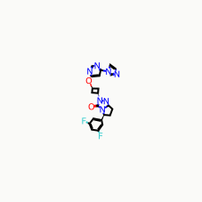 O=c1n2c(nn1[C@H]1C[C@H](Oc3cc(-n4ccnc4)ncn3)C1)CC[C@H]2c1cc(F)cc(F)c1